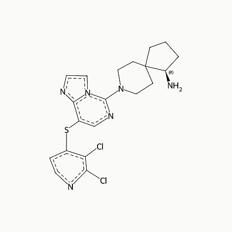 N[C@@H]1CCCC12CCN(c1ncc(Sc3ccnc(Cl)c3Cl)c3nccn13)CC2